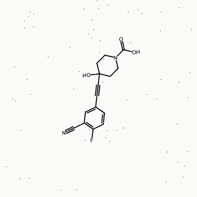 N#Cc1cc(C#CC2(O)CCN(C(=O)O)CC2)ccc1F